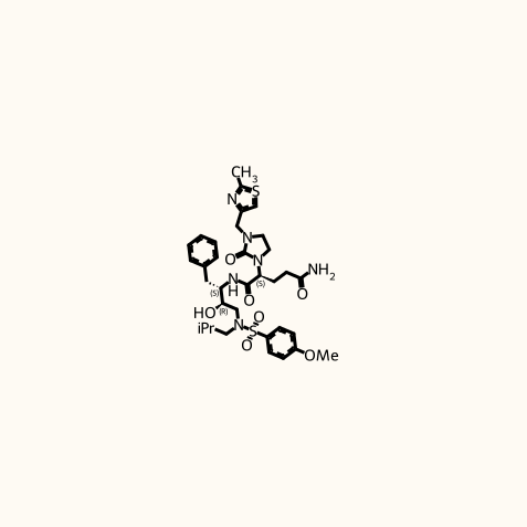 COc1ccc(S(=O)(=O)N(CC(C)C)C[C@@H](O)[C@H](Cc2ccccc2)NC(=O)[C@H](CCC(N)=O)N2CCN(Cc3csc(C)n3)C2=O)cc1